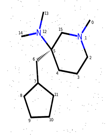 CN1CCC[C@@](CC2CCCC2)(N(C)C)C1